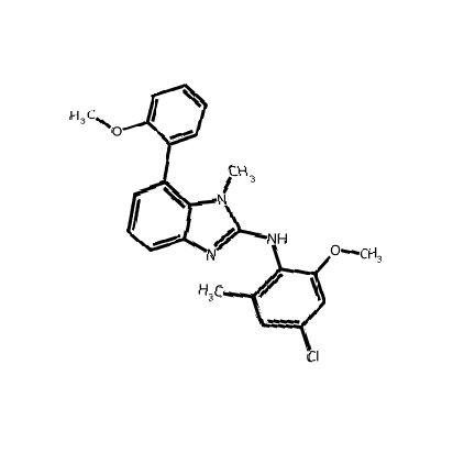 COc1ccccc1-c1cccc2nc(Nc3c(C)cc(Cl)cc3OC)n(C)c12